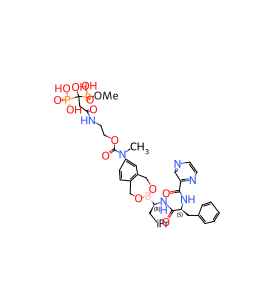 COP(=O)(O)C(O)(CC(=O)NCCOC(=O)N(C)c1ccc2c(c1)COB([C@H](CC(C)C)NC(=O)[C@H](Cc1ccccc1)NC(=O)c1cnccn1)OC2)P(=O)(O)O